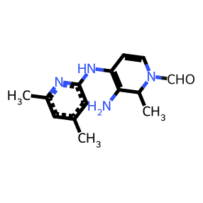 Cc1cc(C)nc(NC2=C(N)C(C)N(C=O)C=C2)c1